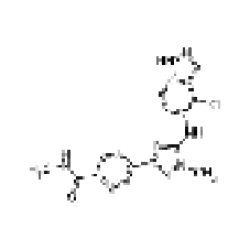 CNC(=O)c1ccc(-c2nc(Nc3ccc4[nH]ncc4c3Cl)n(C)n2)cn1